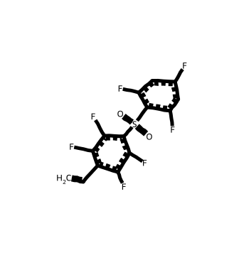 C=Cc1c(F)c(F)c(S(=O)(=O)c2c(F)cc(F)cc2F)c(F)c1F